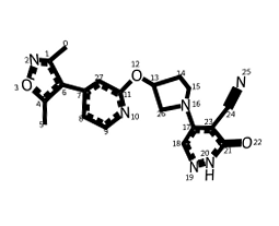 Cc1noc(C)c1-c1ccnc(OC2CCN(c3cn[nH]c(=O)c3C#N)C2)c1